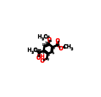 COC(=O)c1cc(CO)c(C(C)=O)cc1OC